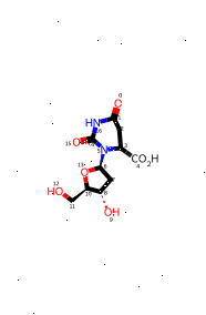 O=C1CC(C(=O)O)N([C@H]2C[C@H](O)[C@@H](CO)O2)C(=O)N1